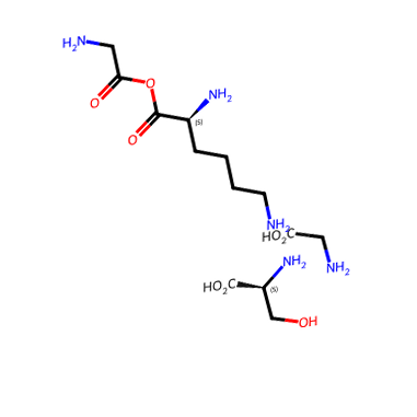 NCC(=O)O.NCCCC[C@H](N)C(=O)OC(=O)CN.N[C@@H](CO)C(=O)O